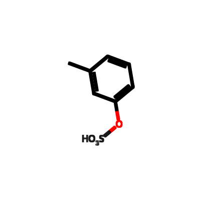 Cc1cccc(OS(=O)(=O)O)c1